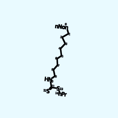 CCCCCCCCCCCCCCCCCCNC(=S)SCCC